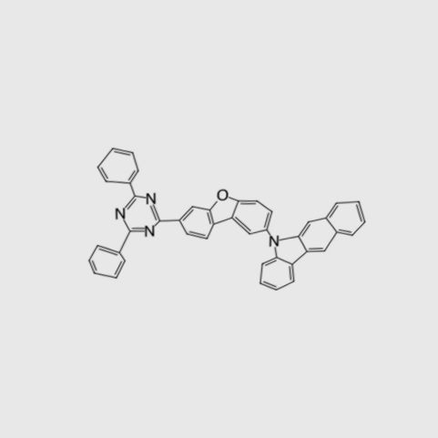 c1ccc(-c2nc(-c3ccccc3)nc(-c3ccc4c(c3)oc3ccc(-n5c6ccccc6c6cc7ccccc7cc65)cc34)n2)cc1